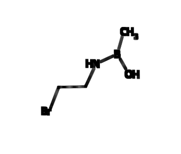 CB(O)NCCBr